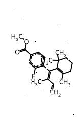 C=C/C(C)=C(\C1=C(C)CCCC1(C)C)c1ccc(C(=O)OC)cc1F